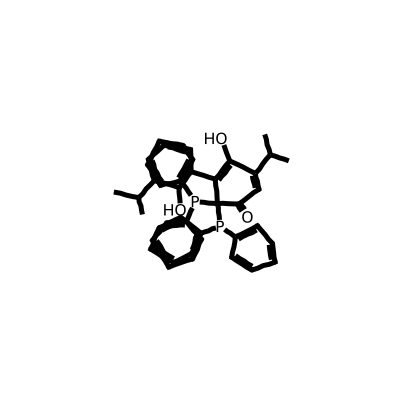 CC(C)C1=CC(=O)C(P(c2ccccc2)c2ccccc2)(P(c2ccccc2)c2ccccc2)C(c2cccc(C(C)C)c2O)=C1O